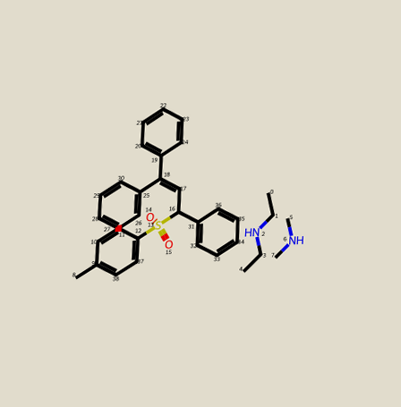 CCNCC.CNC.Cc1ccc(S(=O)(=O)C(C=C(c2ccccc2)c2ccccc2)c2ccccc2)cc1